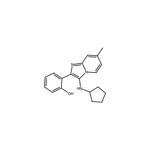 Cc1ccn2c(NC3CCCC3)c(-c3ccccc3O)nc2c1